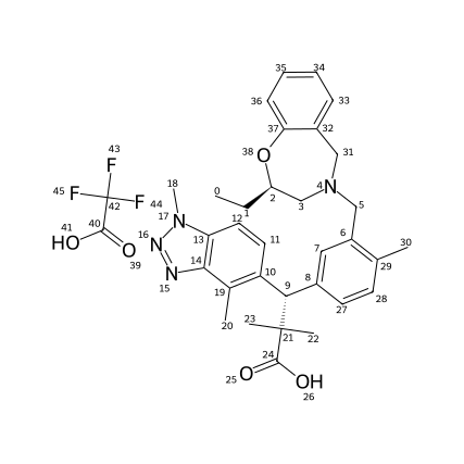 CC[C@@H]1CN(Cc2cc([C@@H](c3ccc4c(nnn4C)c3C)C(C)(C)C(=O)O)ccc2C)Cc2ccccc2O1.O=C(O)C(F)(F)F